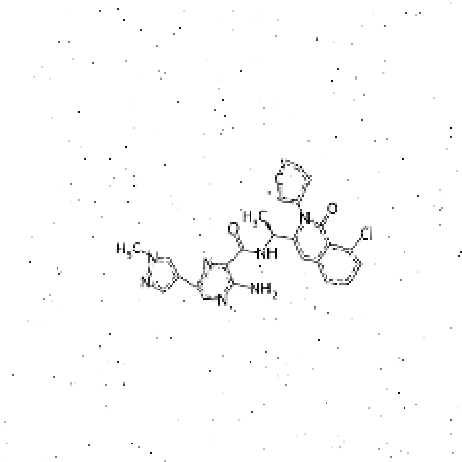 C[C@H](NC(=O)c1nc(-c2cnn(C)c2)cnc1N)c1cc2cccc(Cl)c2c(=O)n1-c1ccccc1